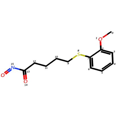 COc1ccccc1SCCCCC(=O)N=O